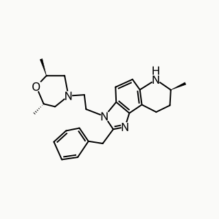 C[C@H]1CCc2c(ccc3c2nc(Cc2ccccc2)n3CCN2C[C@H](C)O[C@@H](C)C2)N1